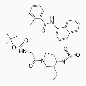 CCC1CN(C(=O)CNC(=O)OC(C)(C)C)CCC1N=S(=O)=O.Cc1ccccc1C(=O)Nc1cccc2ccccc12